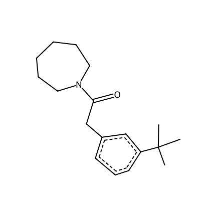 CC(C)(C)c1cccc(CC(=O)N2CCCCCC2)c1